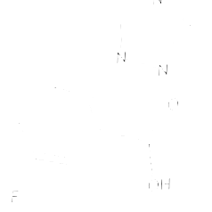 O=C(O)c1cc(F)ccc1-n1cncn1